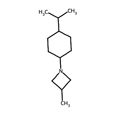 CC1CN(C2CCC(C(C)C)CC2)C1